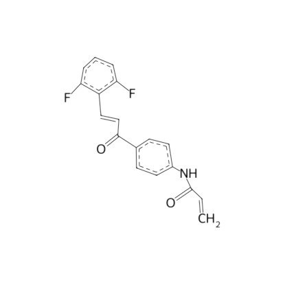 C=CC(=O)Nc1ccc(C(=O)C=Cc2c(F)cccc2F)cc1